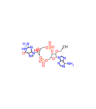 C#CCOC1C2OP(=O)(O)OCC3OC(n4cnc5c(=O)[nH]c(N)nc54)C(OP(=O)(O)OCC2OC1n1cnc2c(N)ncnc21)C3O